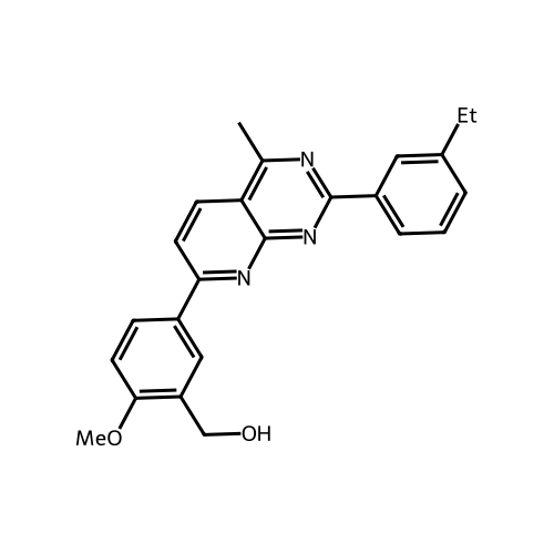 CCc1cccc(-c2nc(C)c3ccc(-c4ccc(OC)c(CO)c4)nc3n2)c1